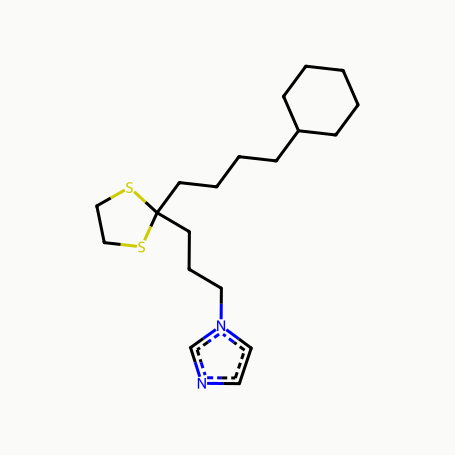 c1cn(CCCC2(CCCCC3CCCCC3)SCCS2)cn1